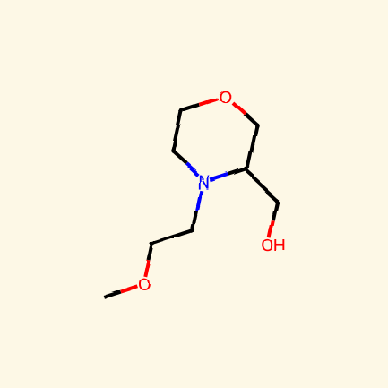 COCCN1CCOCC1CO